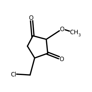 COC1C(=O)CC(CCl)C1=O